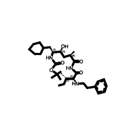 CC[C@H](C)[C@H](NCCc1ccccc1)C(=O)NC(=O)[C@H](C)C[C@H](O)[C@H](CC1CCCCC1)NC(=O)OC(C)(C)C